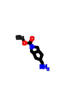 CC(C)(C)OC(=O)N1CC2CC(CN)CC2C1